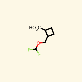 O=C(O)C1CCC1COC(F)F